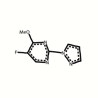 COc1nc(-n2cccn2)ncc1F